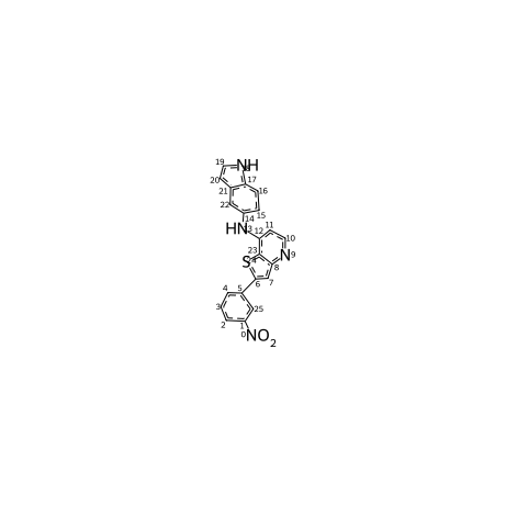 O=[N+]([O-])c1cccc(-c2cc3nccc(Nc4ccc5[nH]ccc5c4)c3s2)c1